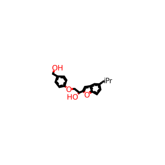 CC(C)c1ccc2oc(C(O)COc3ccc(CO)cc3)cc2c1